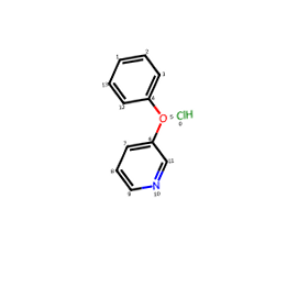 Cl.c1ccc(Oc2cccnc2)cc1